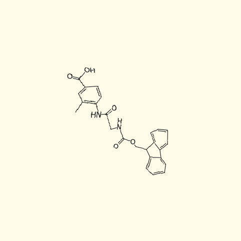 Cc1cc(C(=O)O)ccc1NC(=O)CNC(=O)OCC1c2ccccc2-c2ccccc21